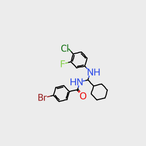 O=C(NC(Nc1ccc(Cl)c(F)c1)C1CCCCC1)c1ccc(Br)cc1